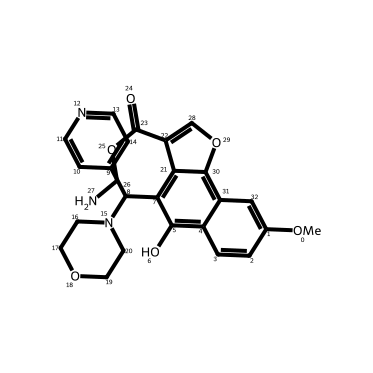 COc1ccc2c(O)c(C(c3ccncc3)N3CCOCC3)c3c(C(=O)OCN)coc3c2c1